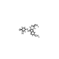 Cc1ccc2c(c1)c1c(n2CCc2ccc(=O)[nH]c2)CCN(C)C1